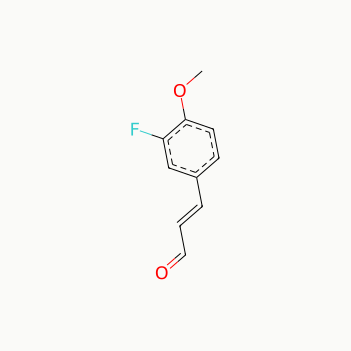 COc1ccc(/C=C/C=O)cc1F